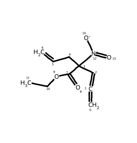 C=C=CC(CC=C)(C(=O)OCC)[N+](=O)[O-]